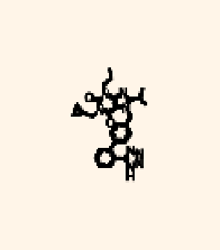 CCCn1c(=O)n(CC2CC2)c(=O)c2c1nc(C(C)C)n2Cc1ccc(-c2ccccc2-c2nnn[nH]2)cc1